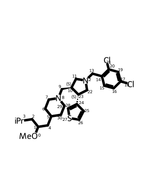 COC(CC(C)C)CC1CCN(C[C@H]2CN(Cc3ccc(Cl)cc3Cl)C[C@@H]2c2ccsc2)CC1